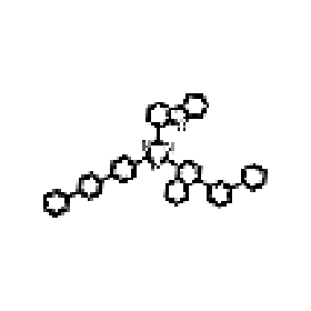 c1ccc(-c2ccc(-c3ccc(-c4nc(-c5ccc(-c6cccc(-c7ccccc7)c6)c6ccccc56)nc(-c5cccc6c5oc5ccccc56)n4)cc3)cc2)cc1